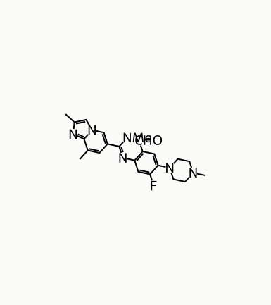 CN/C(=N\c1cc(F)c(N2CCN(C)CC2)cc1C=O)c1cc(C)c2nc(C)cn2c1